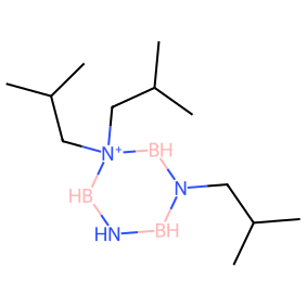 CC(C)CN1BNB[N+](CC(C)C)(CC(C)C)B1